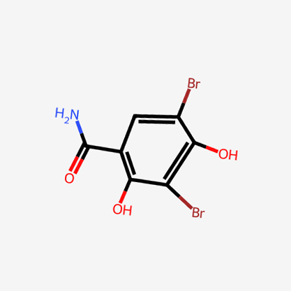 NC(=O)c1cc(Br)c(O)c(Br)c1O